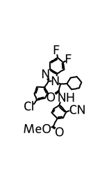 COC(=O)c1ccc(NC(=O)C(C2CCCCC2)n2c(-c3ccc(Cl)cc3)nc3cc(F)c(F)cc32)c(C#N)c1